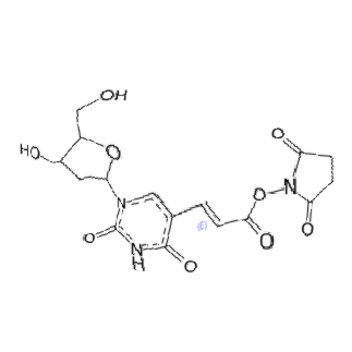 O=C(/C=C/c1cn(C2CC(O)C(CO)O2)c(=O)[nH]c1=O)ON1C(=O)CCC1=O